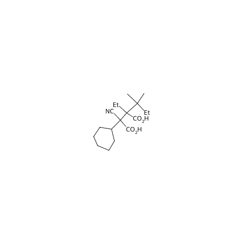 CCC(C)(C)C(CC)(C(=O)O)C(C#N)(C(=O)O)C1CCCCC1